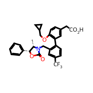 C[C@H]1[C@@H](c2ccccc2)OC(=O)N1Cc1cc(C(F)(F)F)ccc1-c1cc(CC(=O)O)ccc1OCC1CC1